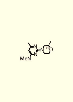 CNc1cc(C)nc(N2CCO[C@H](C)C2)n1